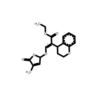 CCOC(=O)/C(=C/OC1C=C(C)C(=O)O1)C1CCOc2ccccc21